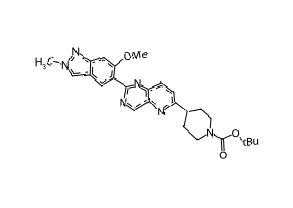 COc1cc2nn(C)cc2cc1-c1ncc2nc(C3CCN(C(=O)OC(C)(C)C)CC3)ccc2n1